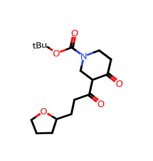 CC(C)(C)OC(=O)N1CCC(=O)C(C(=O)CCC2CCCO2)C1